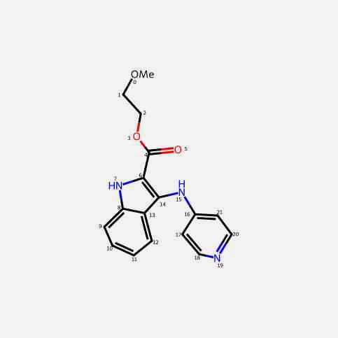 COCCOC(=O)c1[nH]c2ccccc2c1Nc1ccncc1